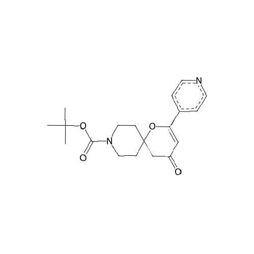 CC(C)(C)OC(=O)N1CCC2(CC1)CC(=O)C=C(c1ccncc1)O2